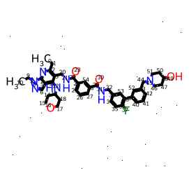 CCc1nc2c(cnn2CC)c(NC2CCOCC2)c1CNC(=O)c1cccc(C(=O)NCc2ccc(F)c(-c3cccc(CN4CCC(O)CC4)c3)c2)c1